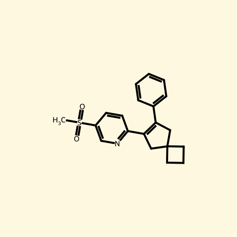 CS(=O)(=O)c1ccc(C2=C(c3ccccc3)CC3(CCC3)C2)nc1